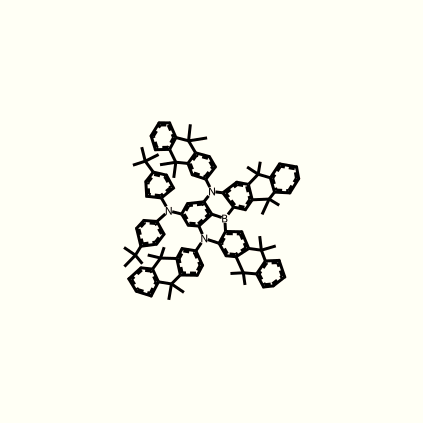 CC(C)(C)c1ccc(N(c2ccc(C(C)(C)C)cc2)c2cc3c4c(c2)N(c2ccc5c(c2)C(C)(C)c2ccccc2C5(C)C)c2cc5c(cc2B4c2cc4c(cc2N3c2ccc3c(c2)C(C)(C)c2ccccc2C3(C)C)C(C)(C)c2ccccc2C4(C)C)C(C)(C)c2ccccc2C5(C)C)cc1